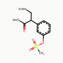 COC(=O)C(CNC(C)=O)c1cccc(OS(C)(=O)=O)c1